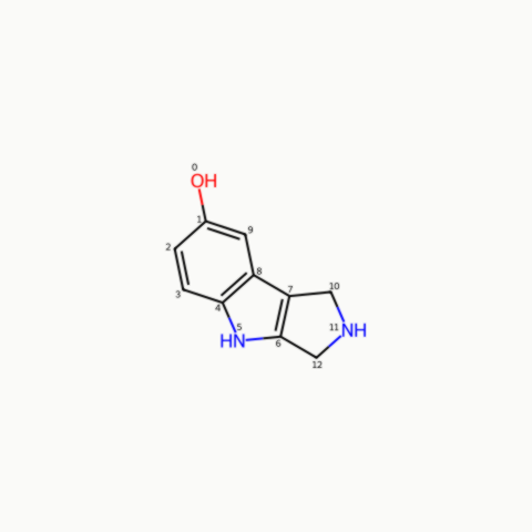 Oc1ccc2[nH]c3c(c2c1)CNC3